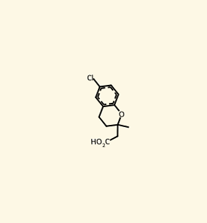 CC1(CC(=O)O)CCc2cc(Cl)ccc2O1